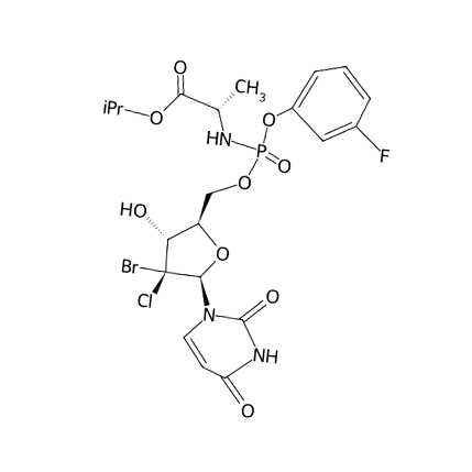 CC(C)OC(=O)[C@H](C)NP(=O)(OC[C@H]1O[C@@H](n2ccc(=O)[nH]c2=O)[C@](Cl)(Br)[C@@H]1O)Oc1cccc(F)c1